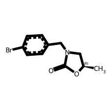 C[C@@H]1CN(Cc2ccc(Br)cc2)C(=O)O1